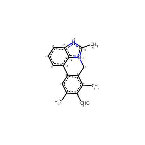 Cc1cc2c(c(C)c1C=O)Cn1c(C)nc3cccc-2c31